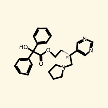 O=C(OCC[C@@H](CN1CCCC1)c1cncnc1)C(O)(c1ccccc1)c1ccccc1